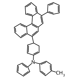 Cc1ccc(N(C2=CCC(c3cc4cc(-c5ccccc5)c5ccccc5c4c4ccccc34)C=C2)c2ccccc2)cc1